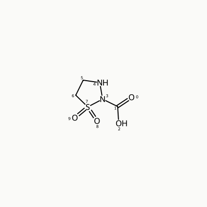 O=C(O)N1NCCS1(=O)=O